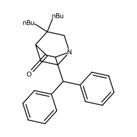 CCCCC1(CCCC)CN2CCC1C(=O)C2C(c1ccccc1)c1ccccc1